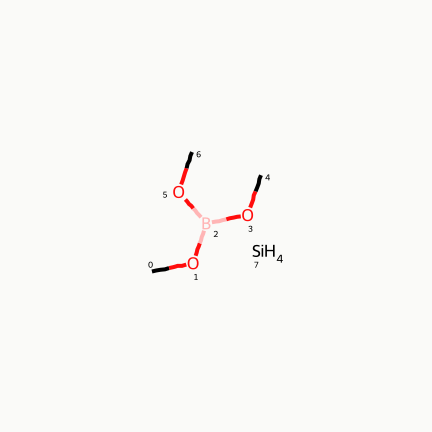 COB(OC)OC.[SiH4]